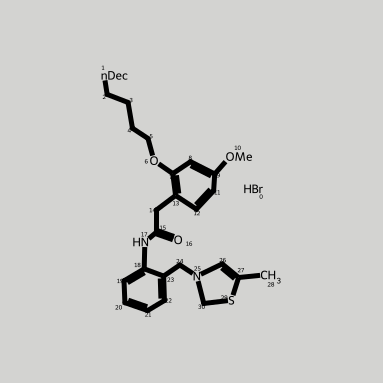 Br.CCCCCCCCCCCCCCOc1cc(OC)ccc1CC(=O)Nc1ccccc1CN1C=C(C)SC1